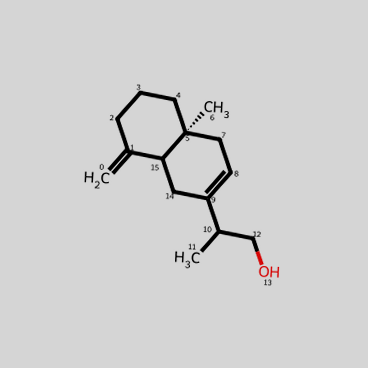 C=C1CCC[C@@]2(C)CC=C(C(C)CO)CC12